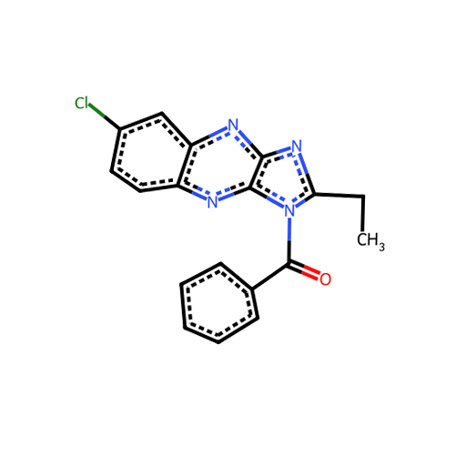 CCc1nc2nc3cc(Cl)ccc3nc2n1C(=O)c1ccccc1